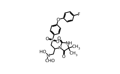 CC1(C)NC(=O)N(C(CN(O)C=O)CS(=O)(=O)c2ccc(Oc3ccc(F)cc3)cc2)C1=O